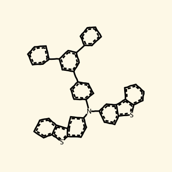 c1ccc(-c2cc(-c3ccccc3)cc(-c3ccc(N(c4ccc5sc6ccccc6c5c4)c4ccc5sc6ccccc6c5c4)cc3)c2)cc1